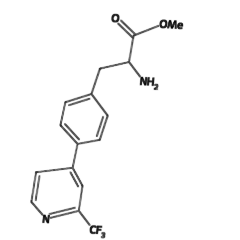 COC(=O)C(N)Cc1ccc(-c2ccnc(C(F)(F)F)c2)cc1